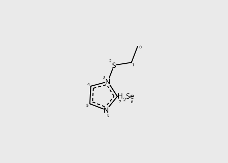 CCSn1ccnc1.[SeH2]